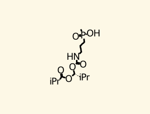 CC(C)C(=O)O[C@H](OC(=O)NCCCP(C)(=O)O)C(C)C